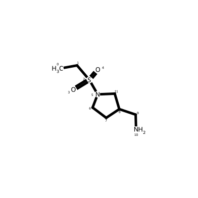 CCS(=O)(=O)N1CCC(CN)C1